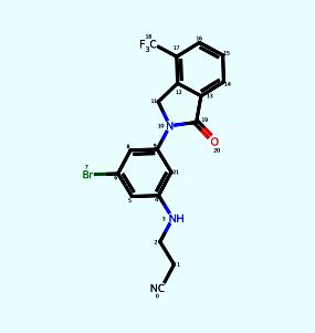 N#CCCNc1cc(Br)cc(N2Cc3c(cccc3C(F)(F)F)C2=O)c1